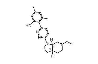 CCN1CC[C@@H]2CCN(c3ccc(-c4c(C)cc(C)cc4O)nn3)[C@@H]2C1